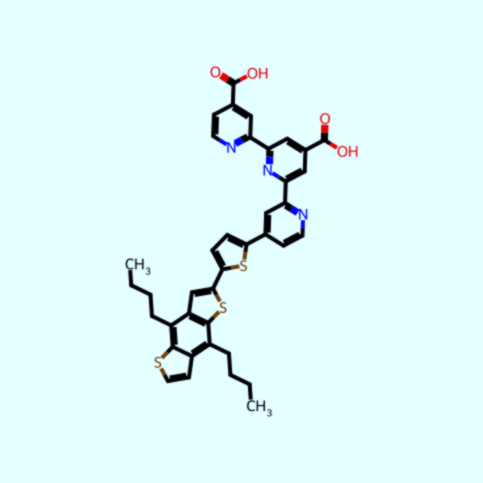 CCCCc1c2cc(-c3ccc(-c4ccnc(-c5cc(C(=O)O)cc(-c6cc(C(=O)O)ccn6)n5)c4)s3)sc2c(CCCC)c2ccsc12